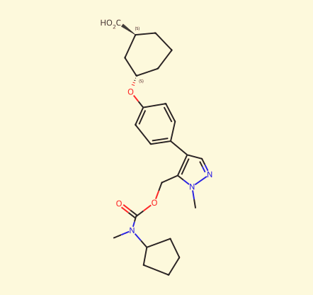 CN(C(=O)OCc1c(-c2ccc(O[C@H]3CCC[C@H](C(=O)O)C3)cc2)cnn1C)C1CCCC1